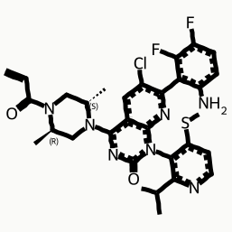 C=CC(=O)N1C[C@H](C)N(c2nc(=O)n(-c3c(SC)ccnc3C(C)C)c3nc(-c4c(N)ccc(F)c4F)c(Cl)cc23)C[C@H]1C